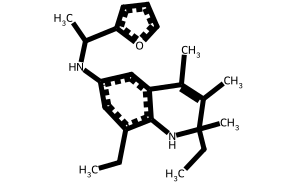 CCc1cc(NC(C)c2ccco2)cc2c1NC(C)(CC)C(C)=C2C